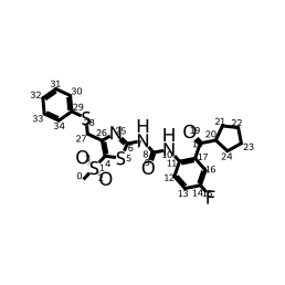 CS(=O)(=O)c1sc(NC(=O)Nc2ccc(F)cc2C(=O)C2CCCC2)nc1CSc1ccccc1